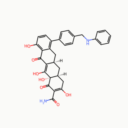 NC(=O)C1=C(O)C[C@@H]2C[C@@H]3Cc4c(-c5ccc(CNc6ccccc6)cc5)ccc(O)c4C(=O)C3=C(O)[C@]2(O)C1=O